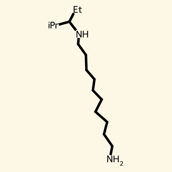 CCC(NCCCCCCCCCCN)C(C)C